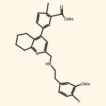 COC(=O)c1cc(-c2cc(CNCCc3ccc(F)c(OC)c3)nc3c2CCCC3)ccc1C